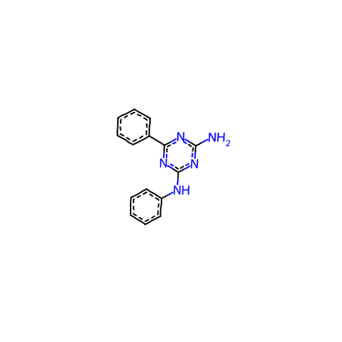 Nc1nc(Nc2ccccc2)nc(-c2ccccc2)n1